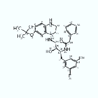 CC(C)(C)Oc1ccc2c(c1)[C@@H](NC[C@H](O)[C@H](Cc1cc(F)cc(F)c1)NC(=O)Cc1ccccc1)CCN2